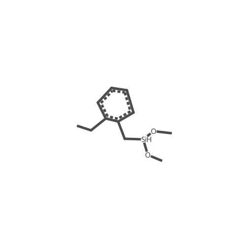 CCc1ccccc1C[SiH](OC)OC